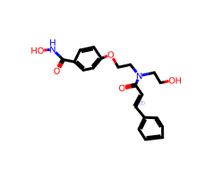 O=C(NO)c1ccc(OCCN(CCO)C(=O)/C=C/c2ccccc2)cc1